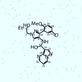 CC[C@H](O)Cn1cc(NC(O)c2cnn3cccnc23)c(-c2cc(Cl)ccc2OC)n1